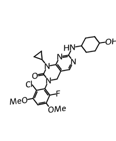 COc1cc(OC)c(Cl)c(N2Cc3cnc(NC4CCC(O)CC4)nc3N(C3CC3)C2=O)c1F